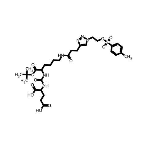 Cc1ccc(S(=O)(=O)OCCn2cc(CCC(=O)NCCCCC(NC(=O)NC(CCC(=O)O)C(=O)O)C(=O)OC(C)(C)C)nn2)cc1